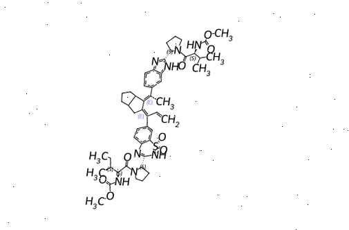 C=C/C(=C1/CC2CCCC2/C1=C(/C)c1ccc2nc([C@@H]3CCCN3C(=O)[C@@H](NC(=O)OC)C(C)C)[nH]c2c1)c1ccc2c(c1)S(=O)(=O)NC([C@@H]1CCCN1C(=O)[C@@H](NC(=O)OC)[C@@H](C)CC)=N2